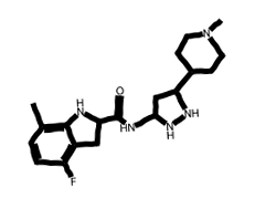 Cc1ccc(F)c2c1NC(C(=O)NC1CC(C3CCN(C)CC3)NN1)C2